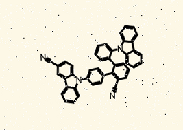 N#Cc1ccc2c(c1)c1ccccc1n2-c1ccc(-c2c(C#N)cccc2-c2ccccc2-n2c3ccccc3c3ccccc32)cc1